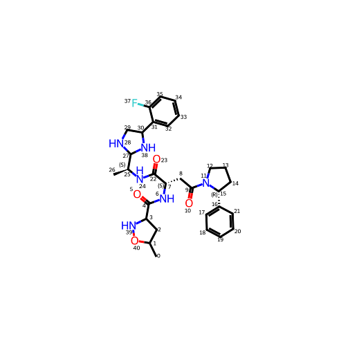 CC1CC(C(=O)N[C@@H](CC(=O)N2CCC[C@@H]2c2ccccc2)C(=O)N[C@@H](C)C2NCC(c3ccccc3F)N2)NO1